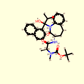 CC(C)C(O)(c1cccc2ccccc12)N1C(=O)[C@@H](NC(=O)[C@H](C)N(C)C(=O)OC(C)(C)C)CCc2ccccc21